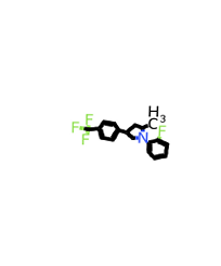 CC1CC(c2ccc(C(F)(F)F)cc2)CN1c1ccccc1F